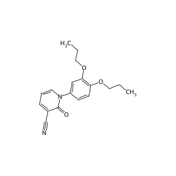 CCCOc1ccc(-n2cccc(C#N)c2=O)cc1OCCC